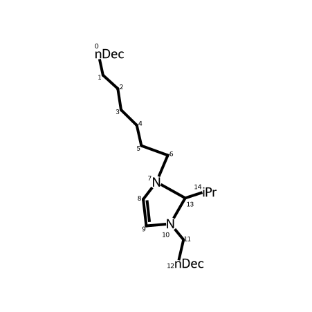 CCCCCCCCCCCCCCCCN1C=CN(CCCCCCCCCCC)C1C(C)C